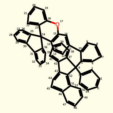 c1ccc(C2(c3ccccc3-c3ccc4c(c3)Oc3ccccc3C43c4ccccc4-c4ccccc43)c3ccccc3-c3ccc4ccccc4c32)cc1